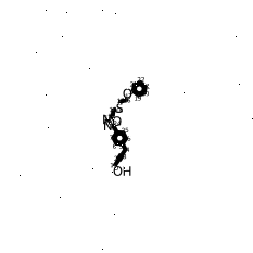 OCC#CCc1ccc(-c2nnc(CSCCOc3ccccc3)o2)cc1